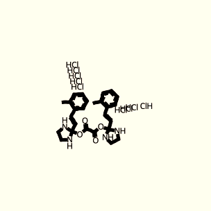 Cc1ccccc1C=CC1(OC(=O)C(=O)OC2(C=Cc3ccccc3C)NCCN2)NCCN1.Cl.Cl.Cl.Cl.Cl.Cl.Cl.Cl.Cl